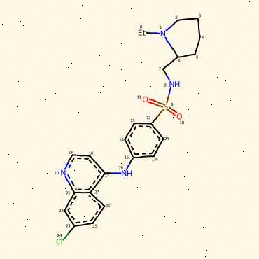 CCN1CCCCC1CNS(=O)(=O)c1ccc(Nc2ccnc3cc(Cl)ccc23)cc1